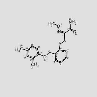 CON=C(CCc1ccccc1COc1ccc(C)cc1C)C(N)=O